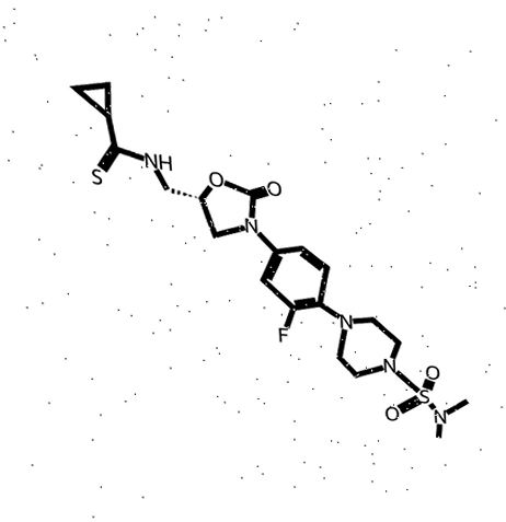 CN(C)S(=O)(=O)N1CCN(c2ccc(N3C[C@H](CNC(=S)C4CC4)OC3=O)cc2F)CC1